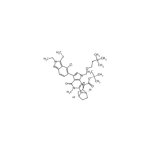 CCn1nc2ccc(-c3cn(COCC[Si](C)(C)C)c4nc(N5[C@H]6CC[C@@H]5[C@H](NC(=O)OC(C)(C)C)C6)n(C)c(=O)c34)c(Cl)c2c1OC